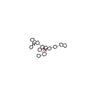 c1ccc(-c2ccccc2-c2c(-c3ccccc3)cccc2N(c2ccc(-c3ccc(-c4ccc5ccccc5c4)cc3)cc2)c2ccc(-c3ccc4c5ccccc5n(-c5ccccc5)c4c3)cc2)cc1